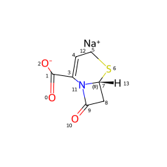 O=C([O-])C1=CCS[C@@H]2CC(=O)N12.[Na+]